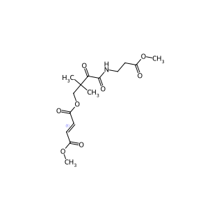 COC(=O)/C=C/C(=O)OCC(C)(C)C(=O)C(=O)NCCC(=O)OC